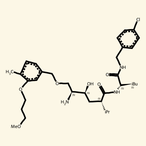 CC[C@H](C)[C@H](NC(=O)[C@@H](C[C@H](O)[C@@H](N)COCc1ccc(C)c(OCCCOC)c1)C(C)C)C(=O)NCc1ccc(Cl)cc1